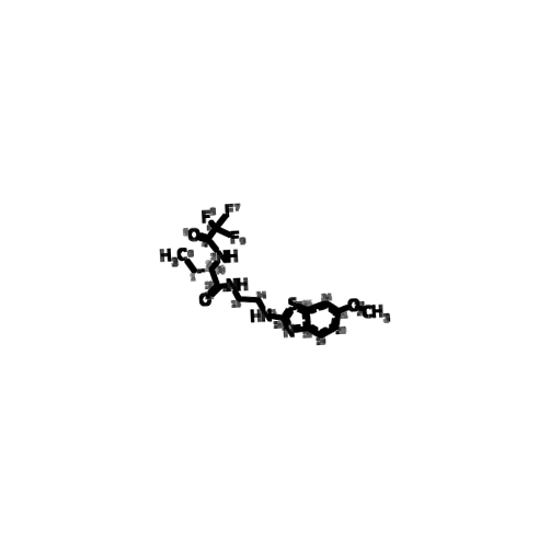 CC[C@H](NC(=O)C(F)(F)F)C(=O)NCCNc1nc2ccc(OC)cc2s1